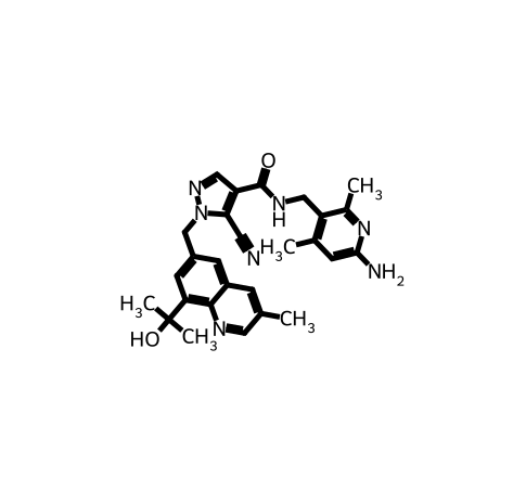 Cc1cnc2c(C(C)(C)O)cc(Cn3ncc(C(=O)NCc4c(C)cc(N)nc4C)c3C#N)cc2c1